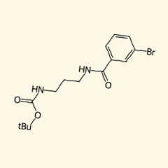 CC(C)(C)OC(=O)NCCCNC(=O)c1cccc(Br)c1